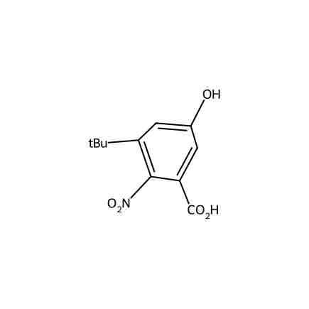 CC(C)(C)c1cc(O)cc(C(=O)O)c1[N+](=O)[O-]